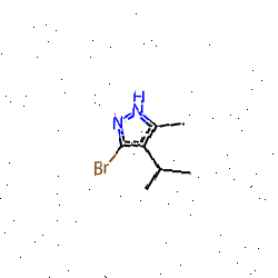 Cc1[nH]nc(Br)c1C(C)C